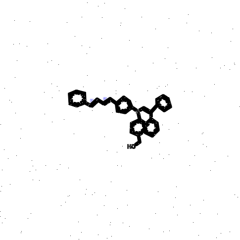 OCc1ccc(N(C=C(c2ccccc2)c2ccccc2)c2ccc(/C=C/C=C/c3ccccc3)cc2)cc1